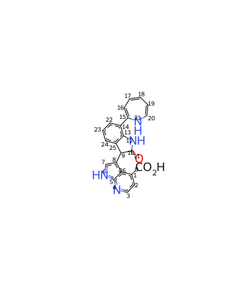 O=C(O)c1ccnc2[nH]cc(C3C(=O)Nc4c(C5=CC=CC=CN5)cccc43)c12